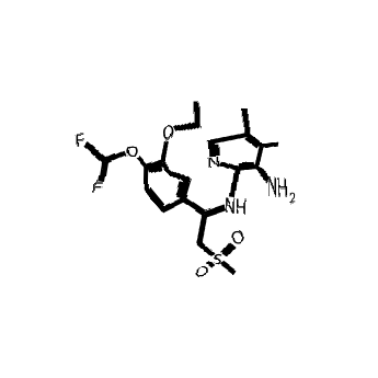 CCOc1cc(C(CS(C)(=O)=O)Nc2ncc(C)c(C)c2N)ccc1OC(F)F